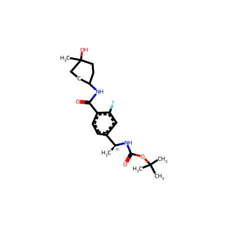 C[C@H](NC(=O)OC(C)(C)C)c1ccc(C(=O)NC2CCC(C)(O)CC2)c(F)c1